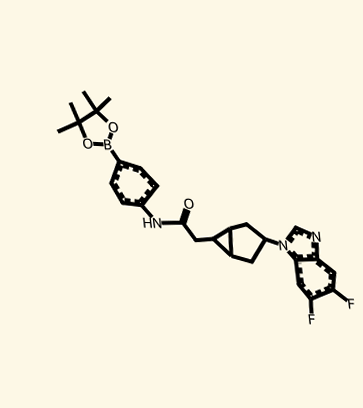 CC1(C)OB(c2ccc(NC(=O)CC3C4CC(n5cnc6cc(F)c(F)cc65)CC34)cc2)OC1(C)C